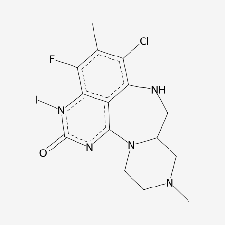 Cc1c(Cl)c2c3c(nc(=O)n(I)c3c1F)N1CCN(C)CC1CN2